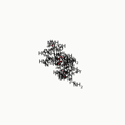 CC(C)C[C@H](NC(=O)[C@H](CCCCN)NC(=O)[C@H](CC(C)C)NC(=O)[C@@H]1CCCN1C(=O)[C@H](CC(N)=O)NC(=O)[C@@H]1CCCN1C(=O)[C@H](Cc1c[nH]cn1)NC(=O)[C@H](CO)NC(=O)[C@H](Cc1c[nH]cn1)NC(=O)[C@H](CO)NC(=O)[C@H](CC(N)=O)NC(=O)[C@@H](N)CO)C(=O)N[C@@H](Cc1c[nH]cn1)C(=O)N[C@@H](CCCNC(=N)N)C(=O)O